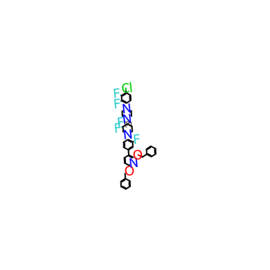 Fc1cc(-c2ccc(OCc3ccccc3)nc2OCc2ccccc2)ccc1N1CC[C@@H](N2CCN(c3ccc(Cl)c(F)c3F)CC2)C(F)(F)C1